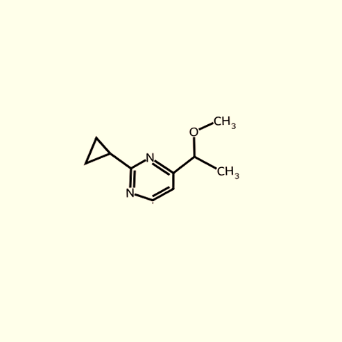 COC(C)c1c[c]nc(C2CC2)n1